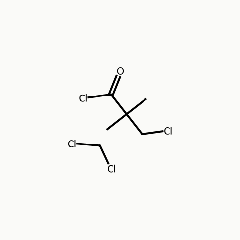 CC(C)(CCl)C(=O)Cl.ClCCl